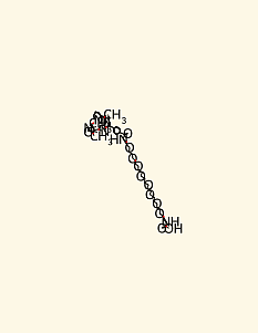 Cc1noc(C)c1-c1cnc2c(-c3ccc(C(=O)NCCOCCOCCOCCOCCOCCOCCOCCOCCNC(=O)O)cc3)cn([C@@H](C)c3ccccn3)c2c1